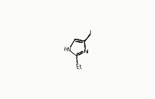 CCc1nc(I)c[nH]1